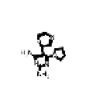 Nc1nc(N)c(-c2cnccn2)c(N2CCCC2)n1